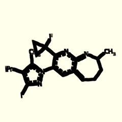 Cc1c(C(C)C)c(I)nn1-c1cc2c(nc1C1(F)CC1)=NC(C)CCC=2